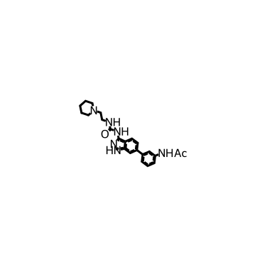 CC(=O)Nc1cccc(-c2ccc3c(NC(=O)NCCN4CCCCC4)n[nH]c3c2)c1